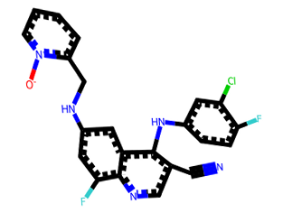 N#Cc1cnc2c(F)cc(NCc3cccc[n+]3[O-])cc2c1Nc1ccc(F)c(Cl)c1